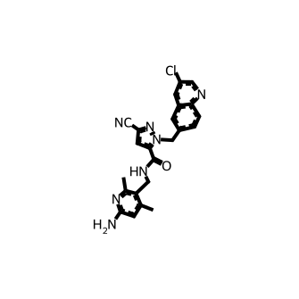 Cc1cc(N)nc(C)c1CNC(=O)c1cc(C#N)nn1Cc1ccc2ncc(Cl)cc2c1